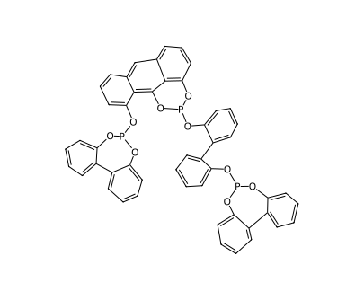 c1ccc(-c2ccccc2Op2oc3ccccc3c3ccccc3o2)c(OP2Oc3cccc4cc5cccc(Op6oc7ccccc7c7ccccc7o6)c5c(c34)O2)c1